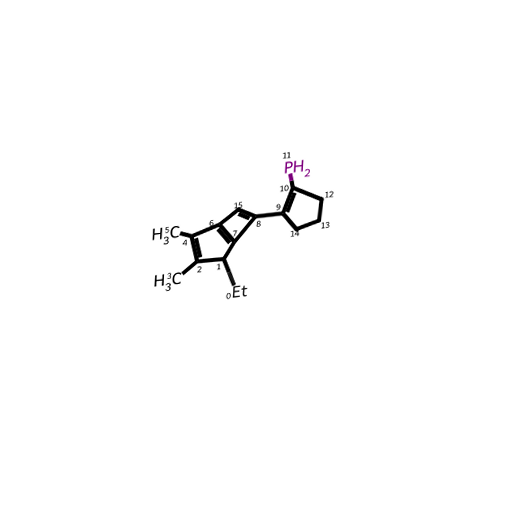 CCC1C(C)=C(C)C2=C1C(C1=C(P)CCC1)=C2